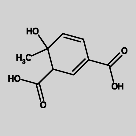 CC1(O)C=CC(C(=O)O)=CC1C(=O)O